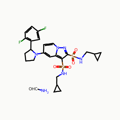 NC=O.O=S(=O)(NCC1CC1)c1nn2ccc(N3CCCC3c3cc(F)ccc3F)cc2c1S(=O)(=O)NCC1CC1